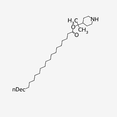 CCCCCCCCCCCCCCCCCCCCCCCCCCC(=O)OC(C)(C)C1CCNCC1